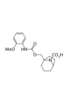 COc1ccccc1NC(=O)OCC12CCCC(CC1)N2C(=O)O